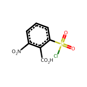 O=C(O)c1c([N+](=O)[O-])cccc1S(=O)(=O)Cl